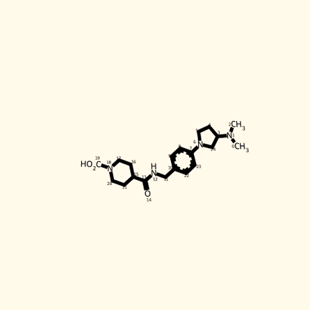 CN(C)C1CCN(c2ccc(CNC(=O)C3CCN(C(=O)O)CC3)cc2)C1